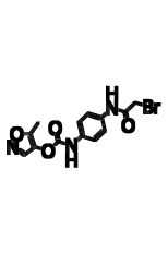 Cc1oncc1OC(=O)Nc1ccc(NC(=O)CBr)cc1